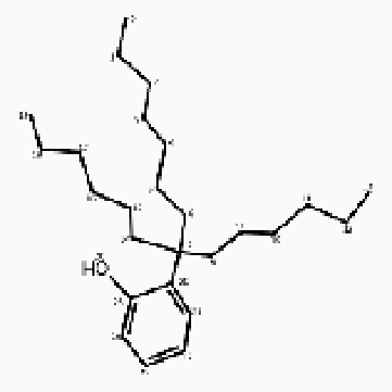 CCCCCCCC(CCCCCC)(CCCCCC)c1ccccc1O